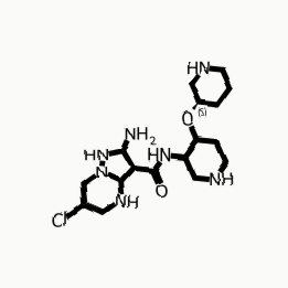 NC1NN2CC(Cl)CNC2C1C(=O)NC1CNCCC1O[C@H]1CCCNC1